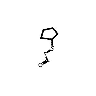 O=[C]SSC1CCCC1